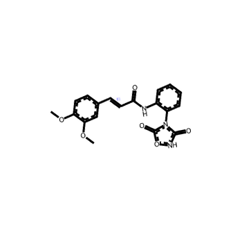 COc1ccc(/C=C/C(=O)Nc2ccccc2-n2c(=O)[nH]oc2=O)cc1OC